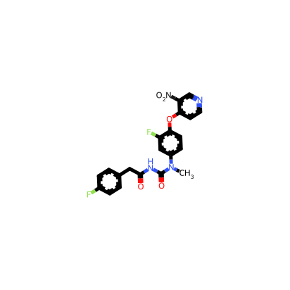 CN(C(=O)NC(=O)Cc1ccc(F)cc1)c1ccc(Oc2ccncc2[N+](=O)[O-])c(F)c1